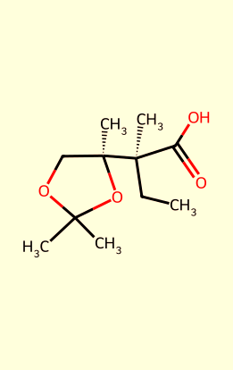 CC[C@](C)(C(=O)O)[C@]1(C)COC(C)(C)O1